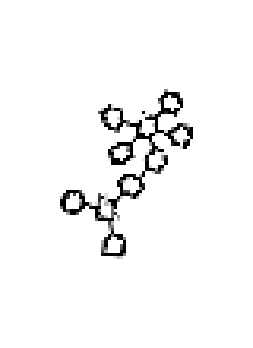 c1ccc(-c2cc(-c3ccccc3)nc(-c3ccc(-c4cccc(-c5c(-c6ccccc6)c(-c6ccccc6)nc(-c6ccccc6)c5-c5ccccc5)c4)cc3)n2)cc1